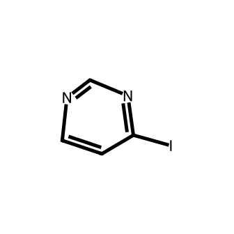 Ic1ccncn1